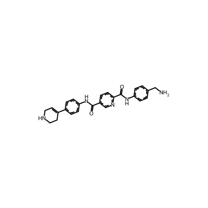 NCc1ccc(NC(=O)c2ccc(C(=O)Nc3ccc(C4=CCNCC4)cc3)cn2)cc1